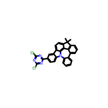 CC1(C)c2cccc3c2-c2c1ccc1c4cc(-c5nc(Cl)nc(Cl)n5)ccc4n(c21)-c1ccccc1-3